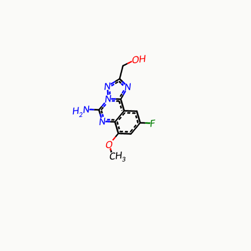 COc1cc(F)cc2c1nc(N)n1nc(CO)nc21